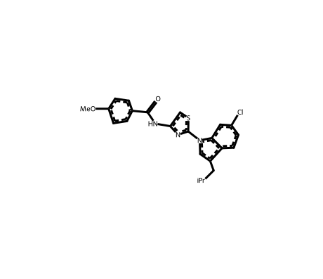 COc1ccc(C(=O)Nc2csc(-n3cc(CC(C)C)c4ccc(Cl)cc43)n2)cc1